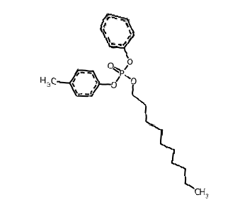 CCCCCCCCCCOP(=O)(Oc1ccccc1)Oc1ccc(C)cc1